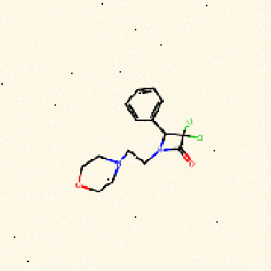 O=C1N(CCN2CCOCC2)C(c2ccccc2)C1(Cl)Cl